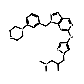 CC(CN(C)C)Cn1cc(Nc2ncc3cnn(Cc4cccc(N5CCOCC5)c4)c3n2)cn1